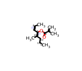 C=C(C)C(=O)OC(/C=C\C)=C(/C)CCC